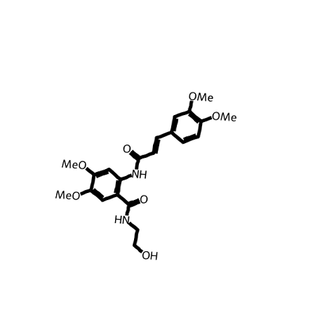 COc1ccc(/C=C/C(=O)Nc2cc(OC)c(OC)cc2C(=O)NCCO)cc1OC